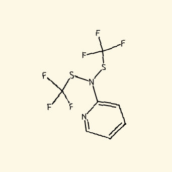 FC(F)(F)SN(SC(F)(F)F)c1ccccn1